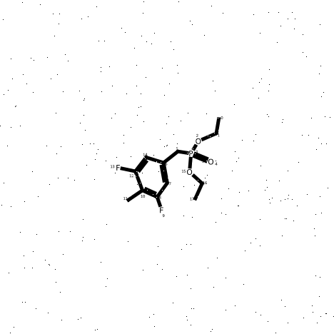 CCOP(=O)(Cc1cc(F)c(C)c(F)c1)OCC